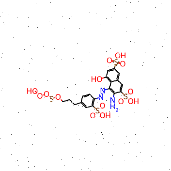 Nc1c(S(=O)(=O)O)cc2cc(S(=O)(=O)O)cc(O)c2c1/N=N/c1ccc(CCCOSOOO)cc1S(=O)(=O)O